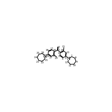 C=C(c1ccc(N2CCCCCC2)cc1C)c1ccc(N2CCCCCC2)cc1C